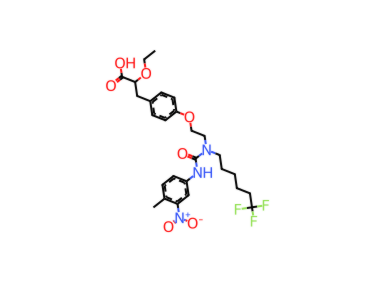 CCOC(Cc1ccc(OCCN(CCCCCC(F)(F)F)C(=O)Nc2ccc(C)c([N+](=O)[O-])c2)cc1)C(=O)O